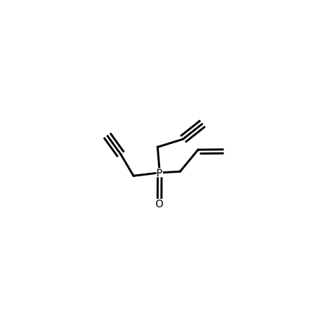 C#CCP(=O)(CC#C)CC=C